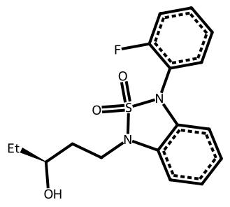 CC[C@H](O)CCN1c2ccccc2N(c2ccccc2F)S1(=O)=O